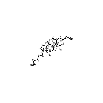 CO[C@H]1CC[C@@]2(C)C(=CC[C@H]3[C@@H]4CC[C@H](CCCCC(C)C)[C@@]4(C)CC[C@@H]32)C1